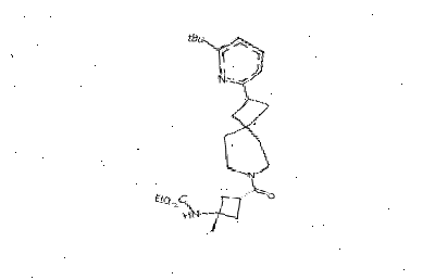 CCOC(=O)N[C@]1(C)C[C@H](C(=O)N2CCC3(CC2)CC(c2cccc(C(C)(C)C)n2)C3)C1